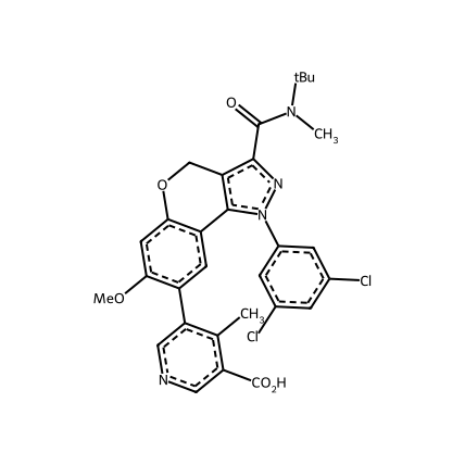 COc1cc2c(cc1-c1cncc(C(=O)O)c1C)-c1c(c(C(=O)N(C)C(C)(C)C)nn1-c1cc(Cl)cc(Cl)c1)CO2